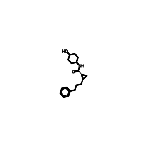 O=C(NC1CCC(O)CC1)[C@@H]1C[C@H]1CCCc1ccccc1